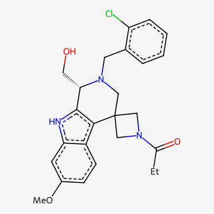 CCC(=O)N1CC2(C1)CN(Cc1ccccc1Cl)[C@@H](CO)c1[nH]c3cc(OC)ccc3c12